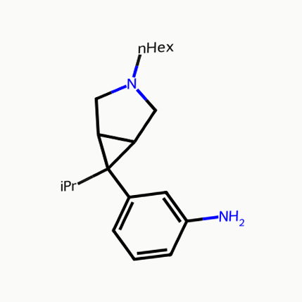 CCCCCCN1CC2C(C1)C2(c1cccc(N)c1)C(C)C